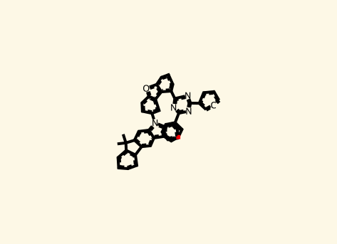 CC1(C)c2ccccc2-c2cc3c4ccccc4n(-c4ccc5oc6cccc(-c7nc(-c8ccccc8)nc(-c8ccccc8)n7)c6c5c4)c3cc21